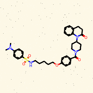 CN(C)c1ccc(S(=O)(=O)NCCCCCOc2ccc(C(=O)N3CCC(N4C(=O)CCc5ccccc54)CC3)cc2)cc1